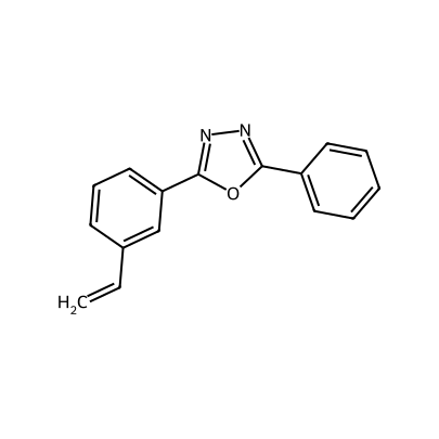 C=Cc1cccc(-c2nnc(-c3ccccc3)o2)c1